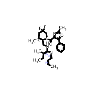 C\C=C/C=N\C(NCC1[C@H](C)CC(F)(F)CN1C(=O)c1nc(C)oc1-c1ccccc1)=C(\C)CC